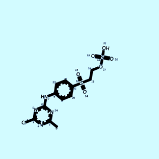 Cc1nc(Cl)nc(Nc2ccc(S(=O)(=O)CCOS(=O)(=O)O)cc2)n1